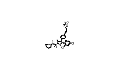 Cc1c(C(=O)NN2CCCCC2)nn(-c2ccc(Cl)cc2Cl)c1-c1ccc(C#CCCOS(C)(=O)=O)cc1